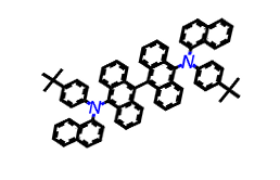 CC(C)(C)c1ccc(N(c2cccc3ccccc23)c2c3ccccc3c(-c3c4ccccc4c(N(c4ccc(C(C)(C)C)cc4)c4cccc5ccccc45)c4ccccc34)c3ccccc23)cc1